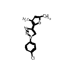 Cc1cc(C)c(-c2cn(-c3ccc(Cl)cc3)nn2)s1